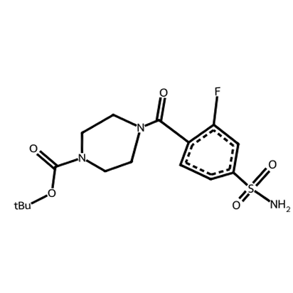 CC(C)(C)OC(=O)N1CCN(C(=O)c2ccc(S(N)(=O)=O)cc2F)CC1